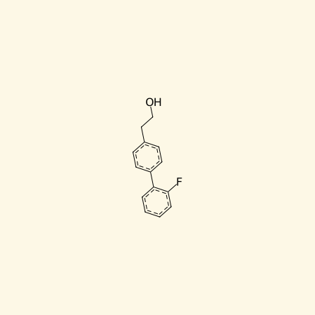 OCCc1ccc(-c2ccccc2F)cc1